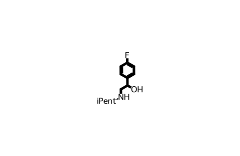 CCC[C@@H](C)NCC(O)c1ccc(F)cc1